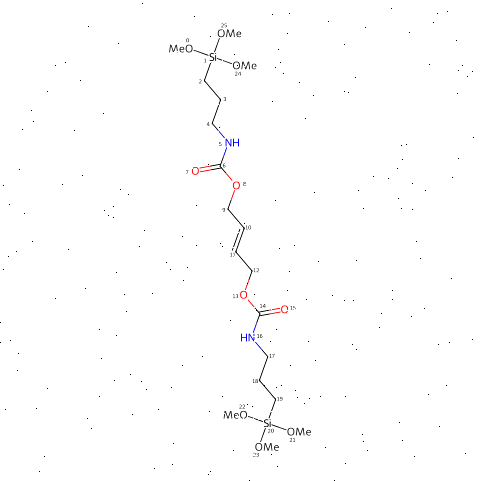 CO[Si](CCCNC(=O)OC/C=C/COC(=O)NCCC[Si](OC)(OC)OC)(OC)OC